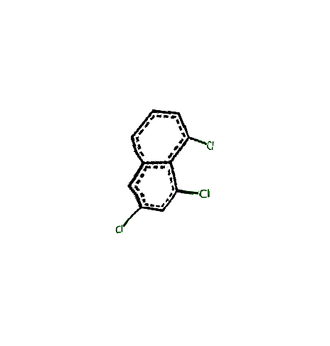 Clc1cc(Cl)c2c(Cl)cccc2c1